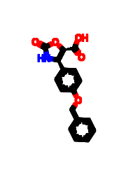 O=C1N[C@H](c2ccc(OCc3ccccc3)cc2)[C@@H](C(=O)O)O1